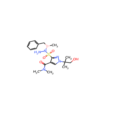 CB(Cc1ccccc1)N(N)S(=O)(=O)c1nn(C(C)(C)CO)cc1C(=O)N(C)C